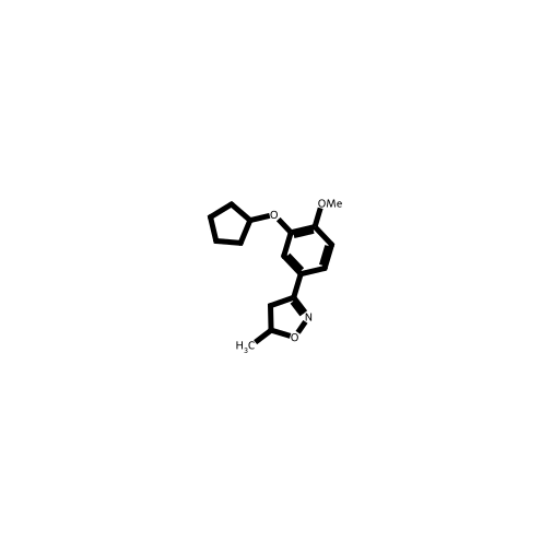 COc1ccc(C2=NOC(C)C2)cc1OC1CCCC1